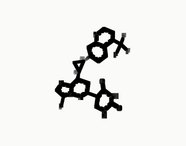 O=c1[nH]cc(-c2cc([C@H]3C[C@@H]3c3ccc4c(C(F)(F)F)ccnc4c3)c3ncc(F)n3n2)c(=O)[nH]1